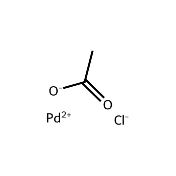 CC(=O)[O-].[Cl-].[Pd+2]